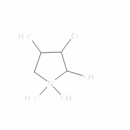 CCC1C(C)C[N+](C)(C)C1C